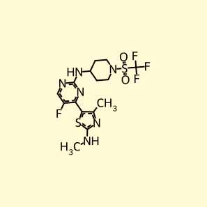 CNc1nc(C)c(-c2nc(NC3CCN(S(=O)(=O)C(F)(F)F)CC3)ncc2F)s1